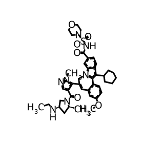 CCN[C@@H]1C[C@H](C)N(C(=O)c2cnn(C)c2C2=Cc3cc(OC)ccc3-c3c(C4CCCCC4)c4ccc(C(=O)NS(=O)(=O)N5CCOCC5)cc4n3C2)C1